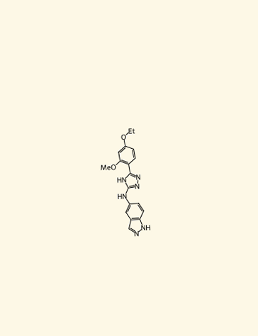 CCOc1ccc(-c2nnc(Nc3ccc4[nH]ncc4c3)[nH]2)c(OC)c1